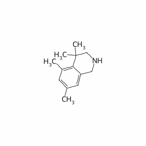 Cc1cc(C)c2c(c1)CNCC2(C)C